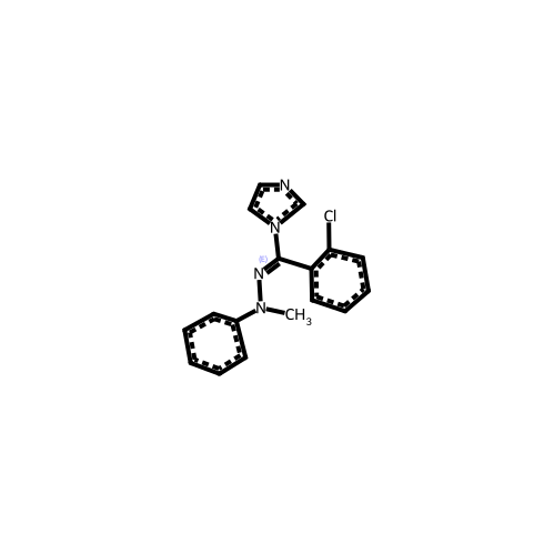 CN(/N=C(\c1ccccc1Cl)n1ccnc1)c1ccccc1